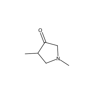 CC1CN(C)CC1=O